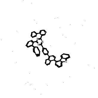 C1=CC2=C(c3ccc(-c4nc(-c5ccccc5-c5ccccc5)nc(-c5ccccc5-c5ccccc5)n4)cc3)C=CC(c3cccc4sc5ccccc5c34)C2C=C1